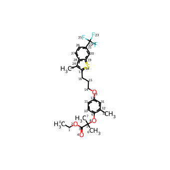 CCOC(=O)C(C)(C)Oc1ccc(OCCCc2sc3cc(C(F)(F)F)ccc3c2C)cc1C